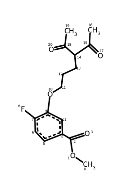 COC(=O)c1ccc(F)c(OCCCC(C(C)=O)C(C)=O)c1